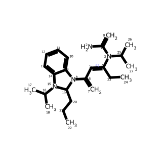 C=C(N)N(/C(=C/C(=C)N1c2ccccc2N(C(C)C)C1CCC)CC)C(C)C